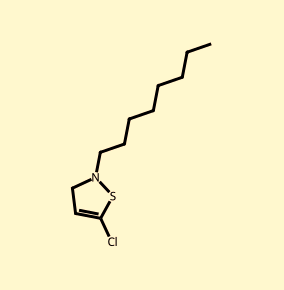 CCCCCCCCN1CC=C(Cl)S1